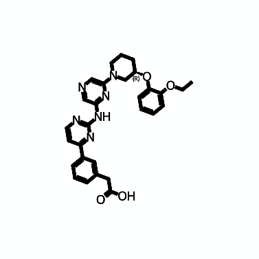 CCOc1ccccc1O[C@@H]1CCCN(c2cncc(Nc3nccc(-c4cccc(CC(=O)O)c4)n3)n2)C1